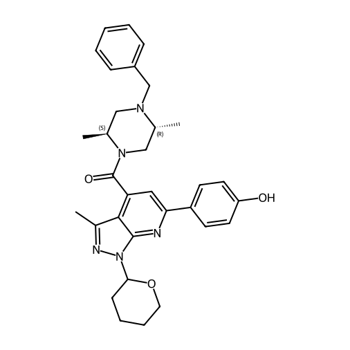 Cc1nn(C2CCCCO2)c2nc(-c3ccc(O)cc3)cc(C(=O)N3C[C@@H](C)N(Cc4ccccc4)C[C@@H]3C)c12